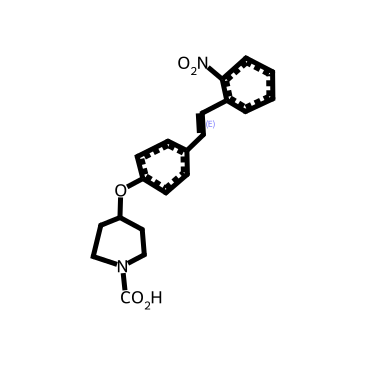 O=C(O)N1CCC(Oc2ccc(/C=C/c3ccccc3[N+](=O)[O-])cc2)CC1